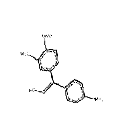 COc1ccc(/C(=C\C#N)c2ccc(N)cc2)cc1OC